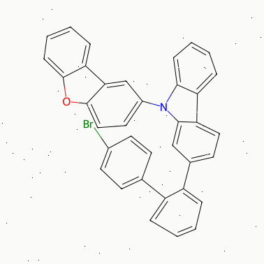 Brc1ccc(-c2ccccc2-c2ccc3c4ccccc4n(-c4ccc5oc6ccccc6c5c4)c3c2)cc1